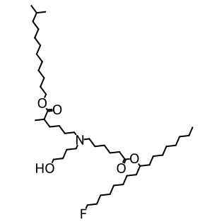 CCCCCCCCC(CCCCCCCCF)OC(=O)CCCCCN(CCCCO)CCCCC(C)C(=O)OCCCCCCCCCCC(C)C